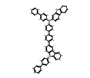 C1=Cc2c(sc3cc(N(c4ccc(-c5ccccc5)cc4)c4ccc(-c5ccc(-c6ccc7c(c6)c6c(n7-c7ccc(-c8ccccc8)cc7)=CCCC=6)cc5)cc4)ccc23)CC1